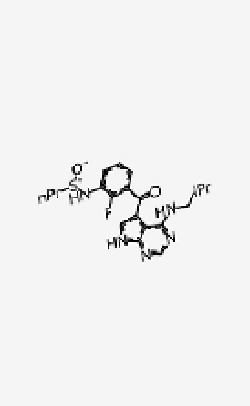 CCC[S+]([O-])Nc1cccc(C(=O)c2c[nH]c3ncnc(NCC(C)C)c23)c1F